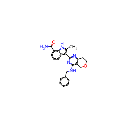 Cc1[nH]c2c(C(N)=O)cccc2c1-c1nc2c(c(NCc3ccccc3)n1)COCC2